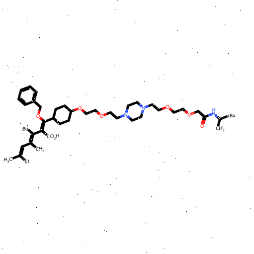 CC\C(C)=C/C(C)=C(/C(C(=O)O)=C(\OCc1ccccc1)C1CCC(OCCOCCN2CCN(CCOCCOCC(=O)NC(C)C(C)(C)C)CC2)CC1)C(C)CC